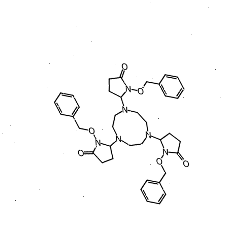 O=C1CCC(N2CCN(C3CCC(=O)N3OCc3ccccc3)CCN(C3CCC(=O)N3OCc3ccccc3)CC2)N1OCc1ccccc1